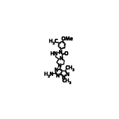 COc1ccc(N2NCC3CN(c4nc(N)nc5c4c(C)nn5C)CCN3C2=O)cc1C